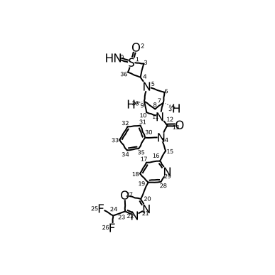 N=S1(=O)CC(N2C[C@@H]3C[C@H]2CN3C(=O)N(Cc2ccc(-c3nnc(C(F)F)o3)cn2)c2ccccc2)C1